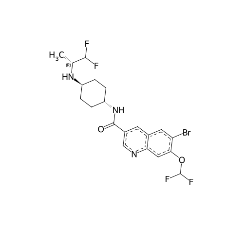 C[C@@H](N[C@H]1CC[C@H](NC(=O)c2cnc3cc(OC(F)F)c(Br)cc3c2)CC1)C(F)F